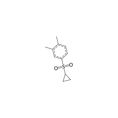 Cc1ccc(S(=O)(=O)C2CC2)cc1C